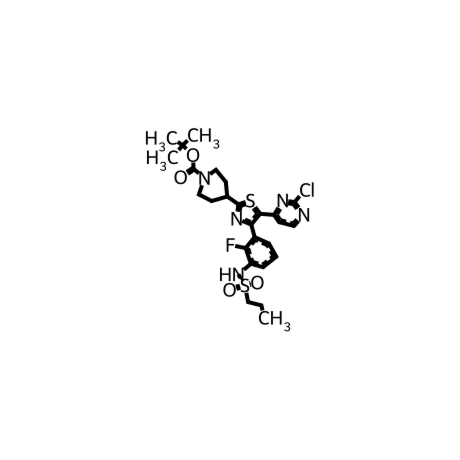 CCCS(=O)(=O)Nc1cccc(-c2nc(C3CCN(C(=O)OC(C)(C)C)CC3)sc2-c2ccnc(Cl)n2)c1F